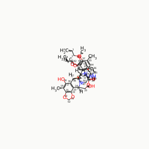 C=CCOc1cc2c(cc1OC)[C@@]1(CS[C@@H]3c4c(O)c(C)c5c(c4[C@H](COC1=O)N1C3[C@@H]3c4c(cc(C)c(OC)c4OCC=C)C[C@@H]([C@@H]1O)N3C)OCO5)NCC2